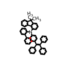 CC1(C)c2ccccc2-c2c(N(c3ccc(C(=C(c4ccccc4)c4ccccc4)c4ccccc4)cc3)c3ccccc3-c3ccccc3)cccc21